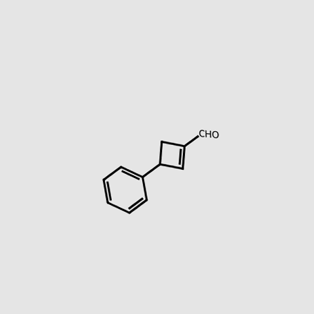 O=CC1=CC(c2ccccc2)C1